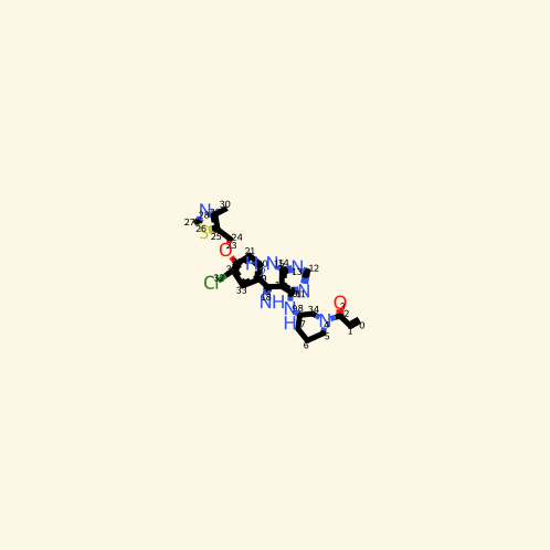 C=CC(=O)N1CCCC(Nc2ncnc(N)c2C(=N)c2ccc(OCc3scnc3C)c(Cl)c2)C1